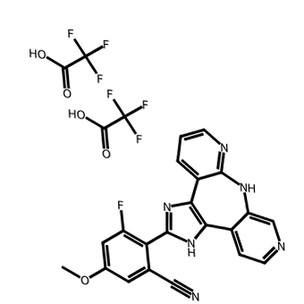 COc1cc(F)c(-c2nc3c([nH]2)-c2ccncc2Nc2ncccc2-3)c(C#N)c1.O=C(O)C(F)(F)F.O=C(O)C(F)(F)F